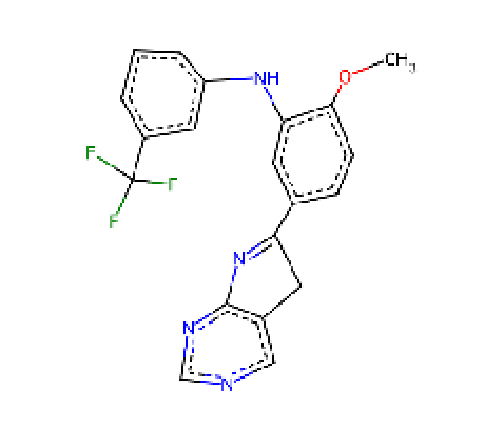 COc1ccc(C2=Nc3ncncc3C2)cc1Nc1cccc(C(F)(F)F)c1